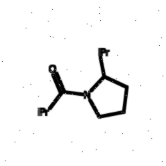 CC(C)C(=O)N1CCCC1C(C)C